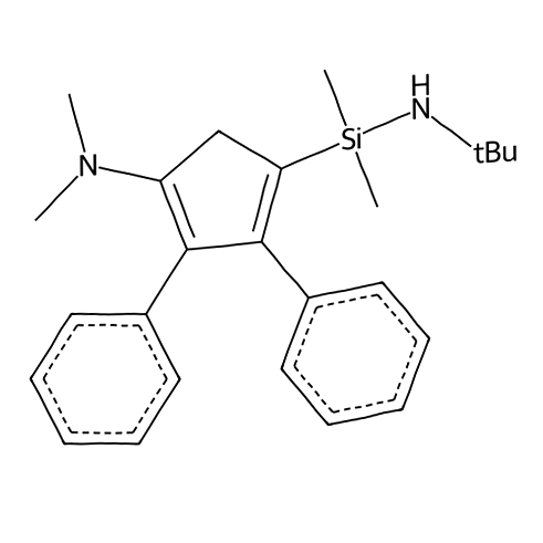 CN(C)C1=C(c2ccccc2)C(c2ccccc2)=C([Si](C)(C)NC(C)(C)C)C1